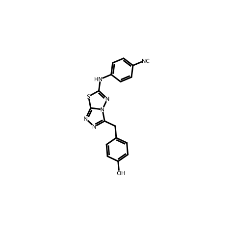 [C-]#[N+]c1ccc(Nc2nn3c(Cc4ccc(O)cc4)nnc3s2)cc1